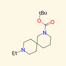 CCN1CCC2(CCCN(C(=O)OC(C)(C)C)C2)CC1